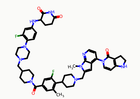 Cc1cc(C(=O)N2CCC(CN3CCN(c4ccc(NC5CCC(=O)NC5=O)cc4F)CC3)CC2)cc(F)c1C1CCN(Cc2cc3c(-n4ccc5c(c4=O)CCN5)ccnc3n2C)CC1